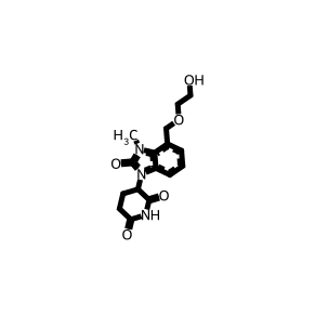 Cn1c(=O)n(C2CCC(=O)NC2=O)c2cccc(COCCO)c21